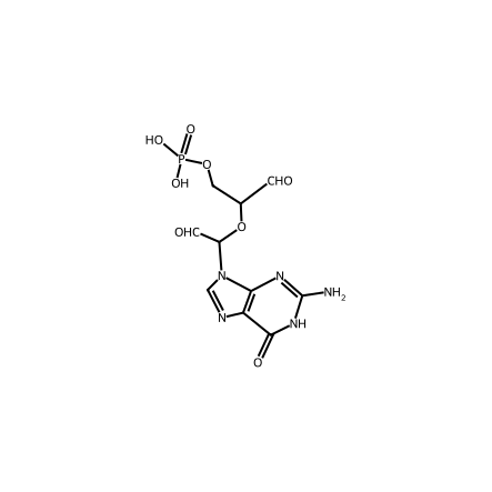 Nc1nc2c(ncn2C(C=O)OC(C=O)COP(=O)(O)O)c(=O)[nH]1